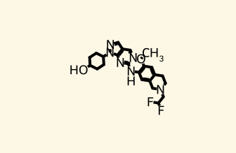 COc1cc2c(cc1Nc1ncc3cnn(C4CCC(O)CC4)c3n1)CN(CC(F)F)CC2